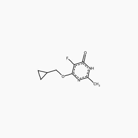 Cc1nc(OCC2CC2)c(F)c(=O)[nH]1